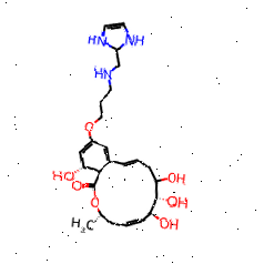 C[C@H]1C/C=C\[C@H](O)[C@@H](O)C(O)C/C=C/C2=CC(OCCCNCC3NC=CN3)=C[C@@H](O)C2C(=O)O1